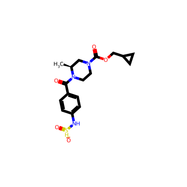 C[C@H]1CN(C(=O)OCC2CC2)CCN1C(=O)c1ccc(N[SH](=O)=O)cc1